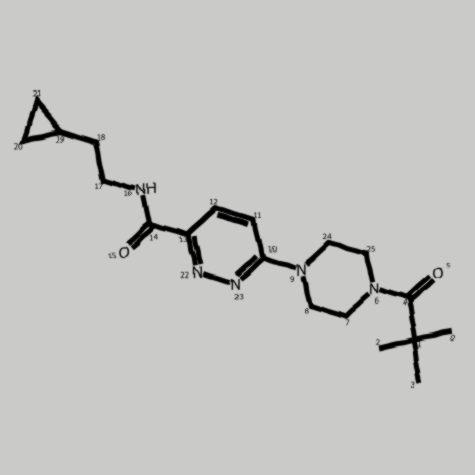 CC(C)(C)C(=O)N1CCN(c2ccc(C(=O)NCCC3CC3)nn2)CC1